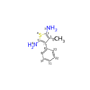 Cc1c(N)sc(N)c1-c1ccccc1